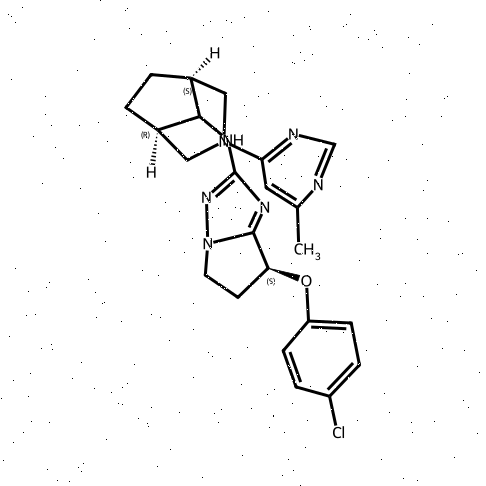 Cc1cc(N2C[C@H]3CC[C@@H](C2)C3Nc2nc3n(n2)CC[C@@H]3Oc2ccc(Cl)cc2)ncn1